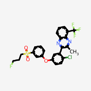 Cc1nc2c(C(F)(F)F)cccc2nc1-c1cc(Oc2cccc(S(=O)(=O)CCCF)c2)ccc1Cl